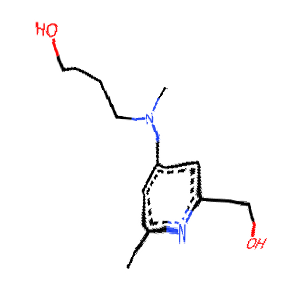 Cc1cc(N(C)CCCO)cc(CO)n1